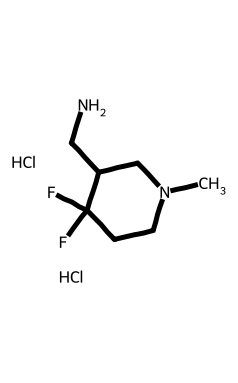 CN1CCC(F)(F)C(CN)C1.Cl.Cl